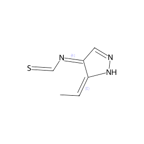 C/C=C1/NN=C/C1=N/C=S